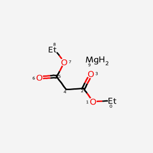 CCOC(=O)CC(=O)OCC.[MgH2]